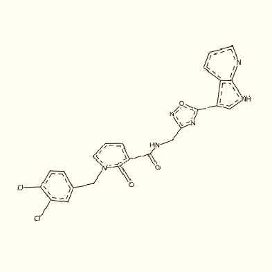 O=C(NCc1noc(-c2c[nH]c3ncccc23)n1)c1cccn(Cc2ccc(Cl)c(Cl)c2)c1=O